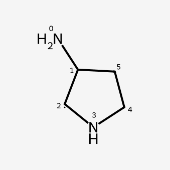 NC1[CH]NCC1